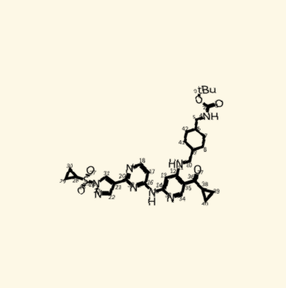 CC(C)(C)OC(=O)NCC1CCC(CNc2cc(Nc3ccnc(-c4cnn(S(=O)(=O)C5CC5)c4)n3)ncc2C(=O)C2CC2)CC1